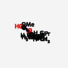 COc1cc(/C=C/C(=O)O[C@H]2CC[C@]34C[C@]35CC[C@]3(C)[C@@H]([C@H](C)C/C=C(\C)C(C)C)CC[C@@]3(C)[C@@H]5CC[C@H]4C2(C)C)ccc1O